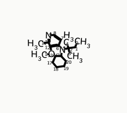 CCC(C)(C)N(c1ccnc(C)c1OC)C1CCCCC1